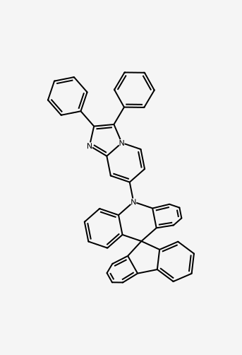 c1ccc(-c2nc3cc(N4c5ccccc5C5(c6ccccc6-c6ccccc65)c5ccccc54)ccn3c2-c2ccccc2)cc1